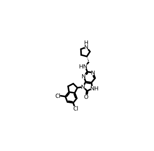 O=c1[nH]c2cnc(NC[C@@H]3CCNC3)nc2n1C1CCc2c(Cl)cc(Cl)cc21